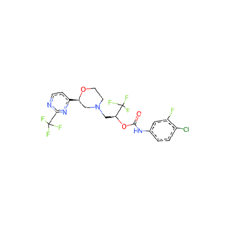 O=C(Nc1ccc(Cl)c(F)c1)O[C@@H](CN1CCO[C@H](c2ccnc(C(F)(F)F)n2)C1)C(F)(F)F